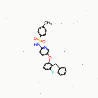 Cc1ccc(S(=O)(=O)Nc2ccc(Oc3cc[c]c(F)c3Cc3ccccc3)cn2)cc1